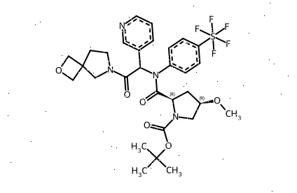 CO[C@@H]1C[C@H](C(=O)N(c2ccc(S(F)(F)(F)(F)F)cc2)C(C(=O)N2CCC3(COC3)C2)c2cccnc2)N(C(=O)OC(C)(C)C)C1